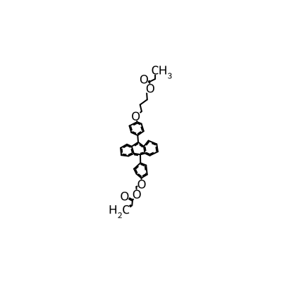 C=CC(=O)OCOc1ccc(-c2c3ccccc3c(-c3ccc(OCCCCOC(=O)CC)cc3)c3ccccc23)cc1